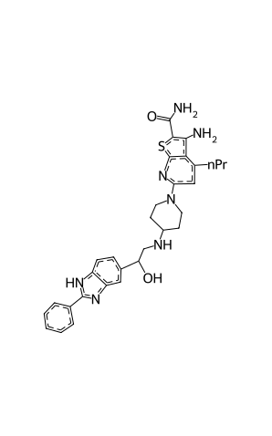 CCCc1cc(N2CCC(NCC(O)c3ccc4[nH]c(-c5ccccc5)nc4c3)CC2)nc2sc(C(N)=O)c(N)c12